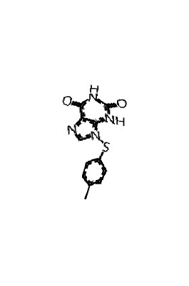 Cc1ccc(Sn2cnc3c(=O)[nH]c(=O)[nH]c32)cc1